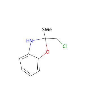 CSC1(CCl)Nc2ccccc2O1